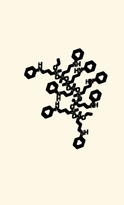 CCO[Si](C)(CCCNc1ccccc1)O[Si](C)(CCCNc1ccccc1)O[Si](C)(CCCNc1ccccc1)O[Si](C)(CCCNc1ccccc1)O[Si](C)(CCCNc1ccccc1)O[Si](C)(CCCNc1ccccc1)O[Si](C)(CCCNc1ccccc1)O[Si](C)(CCCNc1ccccc1)OCC